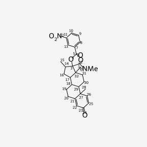 CNC(=O)C1(OC(=O)c2cccc([N+](=O)[O-])c2)C(C)CC2C3CCC4=CC(=O)C=CC4(C)C3CCC21C